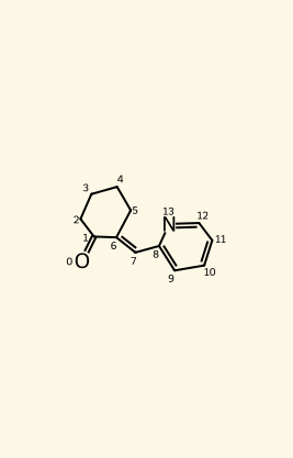 O=C1CCCC/C1=C\c1ccccn1